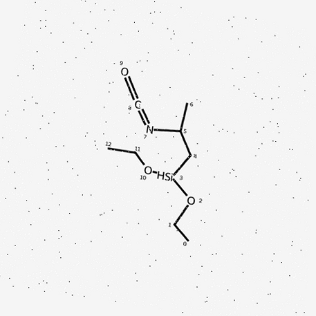 CCO[SiH](CC(C)N=C=O)OCC